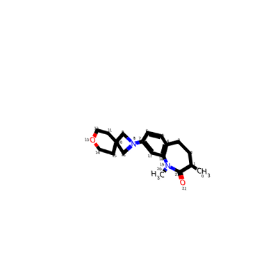 CC1CCc2ccc(N3CC4(CCOCC4)C3)cc2N(C)C1=O